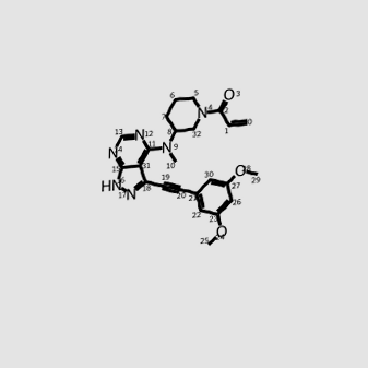 C=CC(=O)N1CCCC(N(C)c2ncnc3[nH]nc(C#Cc4cc(OC)cc(OC)c4)c23)C1